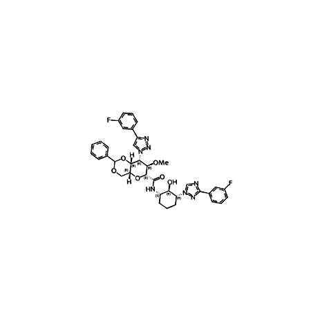 CO[C@@H]1[C@@H](n2cc(-c3cccc(F)c3)nn2)[C@H]2OC(c3ccccc3)OC[C@H]2O[C@H]1C(=O)N[C@H]1CCC[C@@H](n2cnc(-c3cccc(F)c3)n2)[C@@H]1O